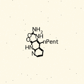 CCCCCc1c(NC(N)=O)c(=O)[nH]c2ncccc12